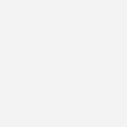 COc1ccc(CCC2(C3CCCC3)CC(O)=C(Sc3nc4ncc(C)cn4n3)C(=O)O2)cc1Cl